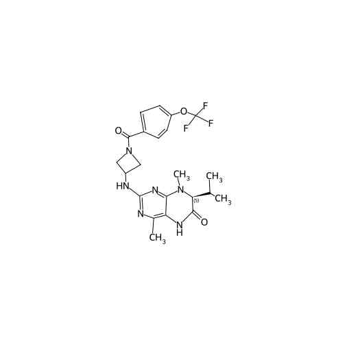 Cc1nc(NC2CN(C(=O)c3ccc(OC(F)(F)F)cc3)C2)nc2c1NC(=O)[C@H](C(C)C)N2C